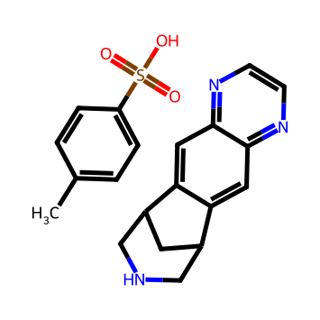 Cc1ccc(S(=O)(=O)O)cc1.c1cnc2cc3c(cc2n1)C1CNCC3C1